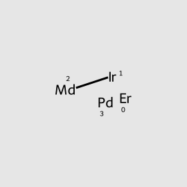 [Er].[Ir][Md].[Pd]